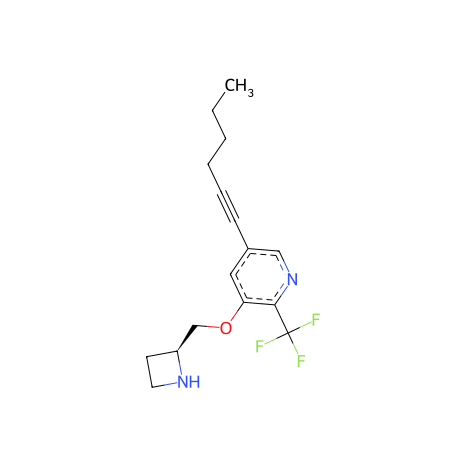 CCCCC#Cc1cnc(C(F)(F)F)c(OC[C@@H]2CCN2)c1